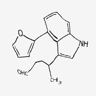 CC(CC=O)c1c[nH]c2cccc(-c3ccco3)c12